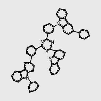 c1ccc(-c2ccc3c(c2)c2ccccc2n3-c2cccc(-c3nc(-c4cccc(-c5ccc6c(c5)c5ccccc5n6-c5ccccc5)c4)nc(-c4cccc5c4sc4ccccc45)n3)c2)cc1